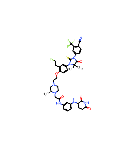 C[C@@H]1CN(CCOc2ccc(N3C(=S)N(c4ccc(C#N)c(C(F)(F)F)c4)C(=O)C3(C)C)cc2CCF)CCN1CC(=O)Nc1cccc(NC2CCC(=O)NC2=O)c1